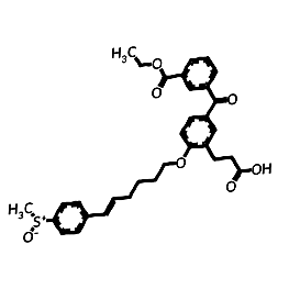 CCOC(=O)c1cccc(C(=O)c2ccc(OCCCC/C=C/c3ccc([S+](C)[O-])cc3)c(CCC(=O)O)c2)c1